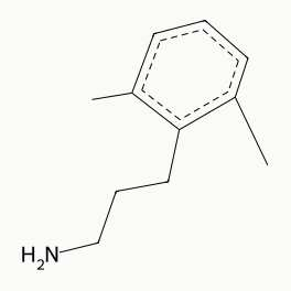 Cc1cccc(C)c1CCCN